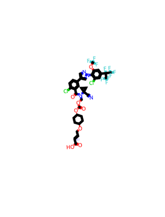 N#CC1(N(COC(=O)O[C@H]2CC[C@H](OC/C=C/C(=O)O)CC2)C(=O)c2cc(-c3cnn(-c4c(Cl)cc(C(F)(C(F)(F)F)C(F)(F)F)cc4OC(F)(F)F)c3)ccc2Cl)CC1